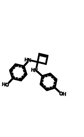 Oc1ccc(NC2(Nc3ccc(O)cc3)C=CC2)cc1